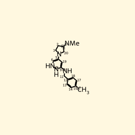 CN[C@@H]1CCN(C2=CNNC(NCc3ccc(C)cc3)=C2)C1